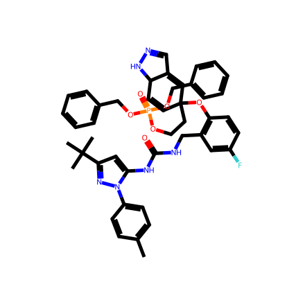 Cc1ccc(-n2nc(C(C)(C)C)cc2NC(=O)NCc2cc(F)ccc2OC2(CCOP(=O)(OCc3ccccc3)OCc3ccccc3)C=CC3NN=CC3=C2)cc1